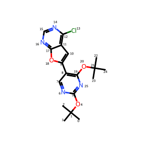 CC(C)(C)Oc1ncc(-c2cc3c(Cl)ncnc3o2)c(OC(C)(C)C)n1